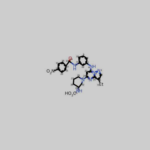 CCc1cnn2c(Nc3cccc(NC(=O)c4ccc([N+](=O)[O-])cc4)c3)cc(N3CCCC(NC(=O)O)C3)nc12